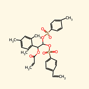 C=CC(=O)OC(c1c(C)cc(C)cc1C)C(OS(=O)(=O)c1ccc(C)cc1)OS(=O)(=O)c1ccc(C=C)cc1